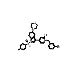 Cc1ccc(S(=O)(=O)n2cc(-c3ccn(Cc4cccc(Br)c4)c(=O)c3)c3cc(N4CCOCC4)cnc32)cc1